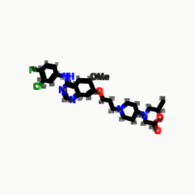 COc1cc2c(Nc3ccc(F)c(Cl)c3)ncnc2cc1OCCCN1CCC(N2CC(=O)OC(C)C2)CC1